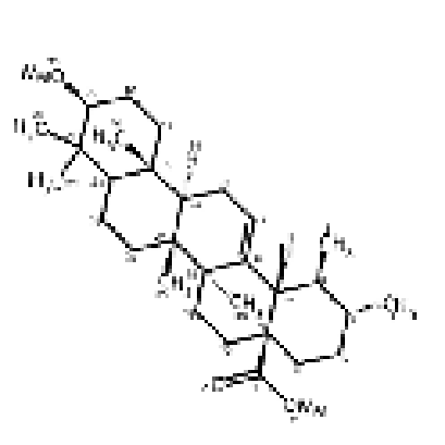 COC(=O)[C@]12CC[C@@H](C)[C@H](C)[C@H]1C1=CC[C@@H]3[C@@]4(C)CC[C@H](OC)C(C)(C)C4CC[C@@]3(C)[C@]1(C)CC2